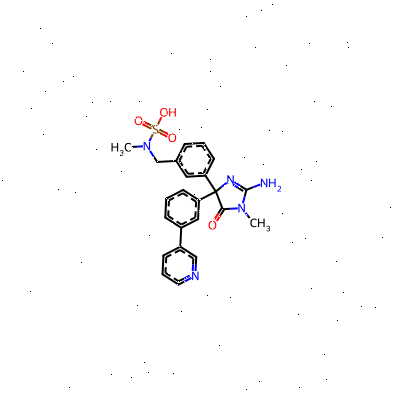 CN1C(=O)C(c2cccc(CN(C)S(=O)(=O)O)c2)(c2cccc(-c3cccnc3)c2)N=C1N